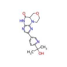 CC(C)(O)c1ccc(-c2cnc3c(n2)N2CCOCC2C(=O)N3)cn1